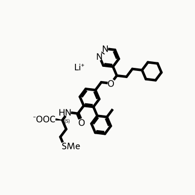 CSCC[C@H](NC(=O)c1ccc(COC(CCC2CCCCC2)c2ccnnc2)cc1-c1ccccc1C)C(=O)[O-].[Li+]